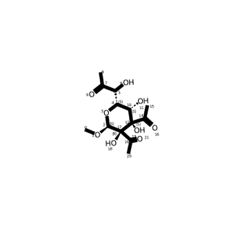 CO[C@H]1O[C@H](C(O)C(C)=O)[C@H](O)[C@@](O)(C(C)=O)[C@]1(O)C(C)=O